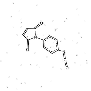 O=C=Nc1ccc(N2C(=O)C=CC2=O)cc1